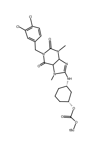 CN1C(=O)N(Cc2ccc(Cl)c(Cl)c2)C(=O)C2C1N=C(N[C@H]1CCC[C@@H](OC(=O)OC(C)(C)C)C1)N2C